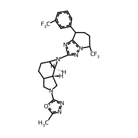 Cc1nnc(N2CC3CC[C@@H]4[C@H]([C@@H]3C2)N4c2nc3n(n2)C(C(F)(F)F)CCC3c2cccc(C(F)(F)F)c2)o1